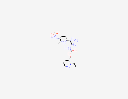 C=Cc1ncccc1[C@@H](C)OC(=O)Nc1c(-c2ccc(NS(C)(=O)=O)c(C)n2)nnn1C